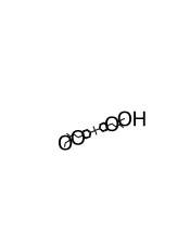 COCC(C)COc1ccc(C(C)(C)c2ccc(OCC(C)CO)cc2)cc1